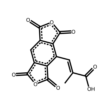 CC(=Cc1c2c(=O)oc(=O)c2cc2c(=O)oc(=O)c12)C(=O)O